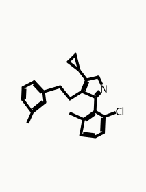 Cc1cccc(CCC2=C(C3CC3)CN=C2c2c(C)cccc2Cl)c1